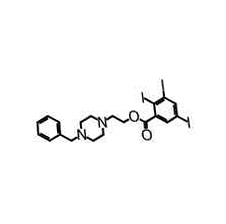 O=C(OCCN1CCN(Cc2ccccc2)CC1)c1cc(I)cc(I)c1I